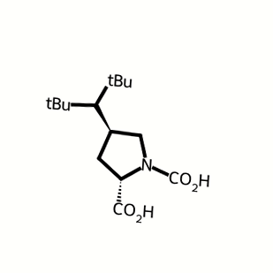 CC(C)(C)C([C@@H]1C[C@@H](C(=O)O)N(C(=O)O)C1)C(C)(C)C